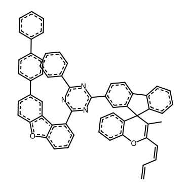 C=C/C=C\C1=C(C)C2(c3ccccc3O1)c1ccccc1-c1ccc(-c3nc(-c4ccccc4)nc(-c4cccc5oc6ccc(-c7ccc(-c8ccccc8)cc7)cc6c45)n3)cc12